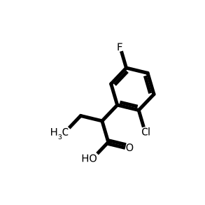 CCC(C(=O)O)c1cc(F)ccc1Cl